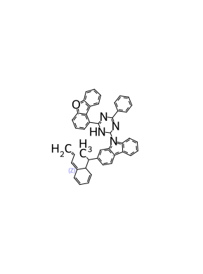 C=C/C=C1/C=CC=CC1C(C)c1ccc2c3ccccc3n(C3N=C(c4ccccc4)N=C(c4cccc5oc6ccccc6c45)N3)c2c1